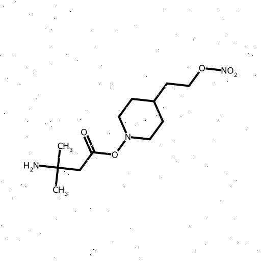 CC(C)(N)CC(=O)ON1CCC(CCO[N+](=O)[O-])CC1